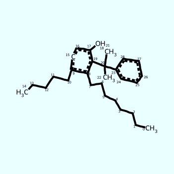 CCCCCCCCc1c(CCCCC)ccc(O)c1C(C)(C)c1ccccc1